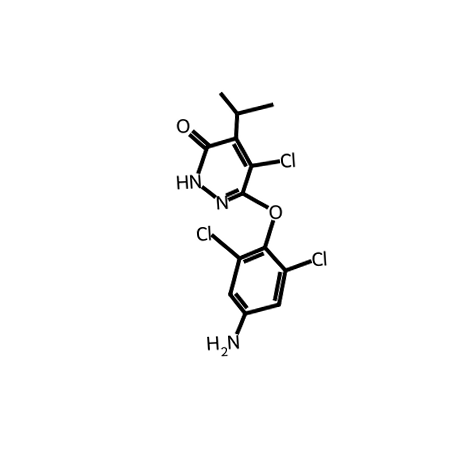 CC(C)c1c(Cl)c(Oc2c(Cl)cc(N)cc2Cl)n[nH]c1=O